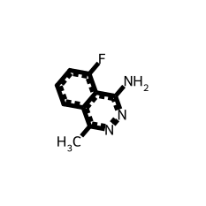 Cc1nnc(N)c2c(F)cccc12